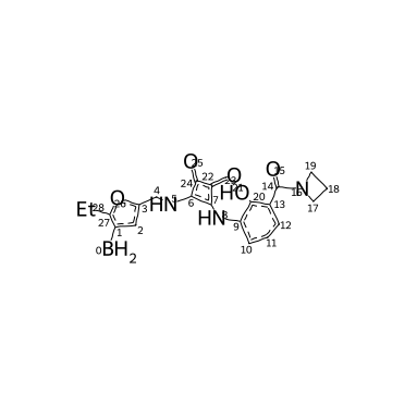 Bc1cc(CNc2c(Nc3cccc(C(=O)N4CCC4)c3O)c(=O)c2=O)oc1CC